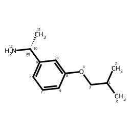 CC(C)COc1cccc([C@@H](C)N)c1